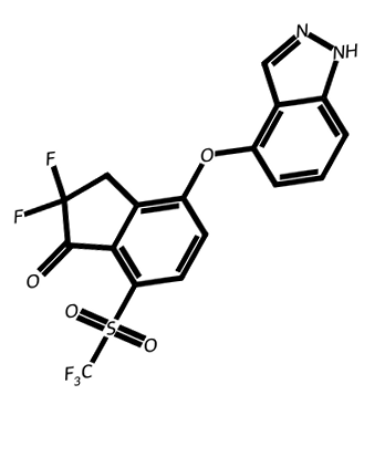 O=C1c2c(S(=O)(=O)C(F)(F)F)ccc(Oc3cccc4[nH]ncc34)c2CC1(F)F